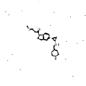 COCCC(=O)N1CCc2cc([C@@H]3C[C@H]3NCC3CCNCC3)ccc21